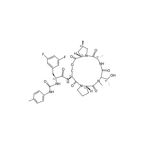 Cc1ccc(NC(=O)N[C@@H](Cc2cc(F)cc(F)c2)C(=O)N[C@H]2COC(=O)[C@@H]3C[C@@H](C)CN3C(=O)[C@H](C)NC(=O)C([C@@H](C)O)N(C)C(=O)[C@@H]3CCCN3C2=O)cc1